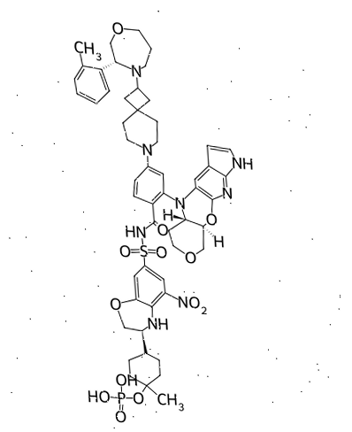 Cc1ccccc1[C@@H]1COCCCN1C1CC2(CCN(c3ccc(C(=O)NS(=O)(=O)c4cc5c(c([N+](=O)[O-])c4)N[C@@H](C4CCC(C)(OP(=O)(O)O)CC4)CO5)c(N4c5cc6cc[nH]c6nc5O[C@H]5COCC[C@@H]54)c3)CC2)C1